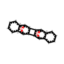 c1ccc2c3oc(c4c3-c3c-4c4oc3c3ccccc43)c2c1